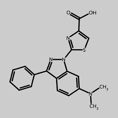 CN(C)c1ccc2c(-c3ccccc3)nn(-c3nc(C(=O)O)cs3)c2c1